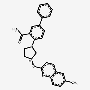 Cc1ccc2nc(O[C@H]3CCN(c4ccc(-c5ccccc5)cc4C(N)=O)C3)ccc2c1